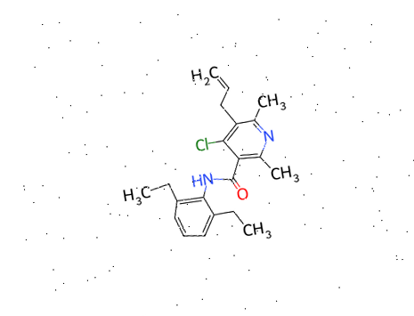 C=CCc1c(C)nc(C)c(C(=O)Nc2c(CC)cccc2CC)c1Cl